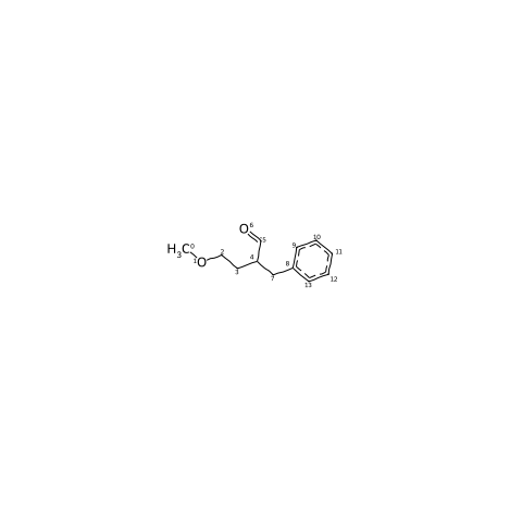 COCCC([C]=O)Cc1ccccc1